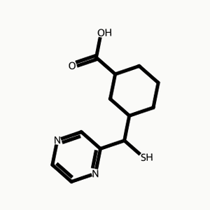 O=C(O)C1CCCC(C(S)c2cnccn2)C1